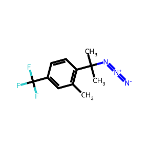 Cc1cc(C(F)(F)F)ccc1C(C)(C)N=[N+]=[N-]